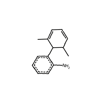 CC1=CC=CC(C)C1c1ccccc1N